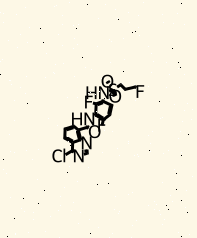 O=C(Nc1c(F)ccc(NS(=O)(=O)CCCF)c1F)c1cccc2c(Cl)ncnc12